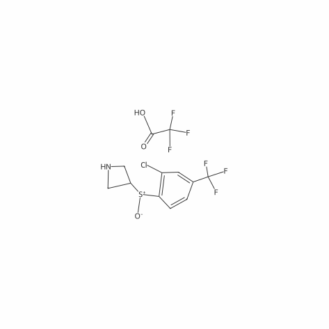 O=C(O)C(F)(F)F.[O-][S+](c1ccc(C(F)(F)F)cc1Cl)C1CNC1